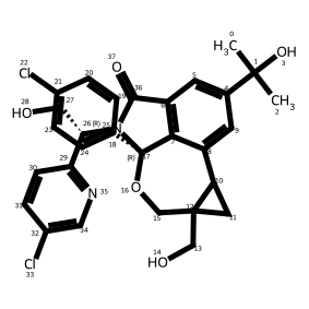 CC(C)(O)c1cc2c3c(c1)C1CC1(CO)CO[C@@]3(c1ccc(Cl)cc1)N([C@@H](CO)c1ccc(Cl)cn1)C2=O